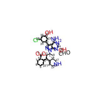 CC(c1oc(=O)c2ccccc2c1C1=CCNCC1)n1nc(-c2cc(O)cc(Cl)c2)c2c(N)ncnc21.O=CO